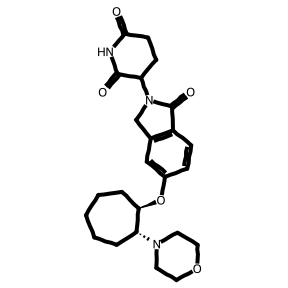 O=C1CCC(N2Cc3cc(O[C@@H]4CCCCC[C@H]4N4CCOCC4)ccc3C2=O)C(=O)N1